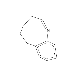 C1=N\c2ccccc2CCCC/1